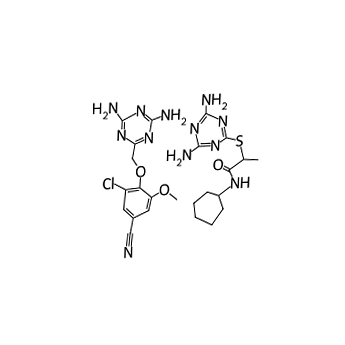 CC(Sc1nc(N)nc(N)n1)C(=O)NC1CCCCC1.COc1cc(C#N)cc(Cl)c1OCc1nc(N)nc(N)n1